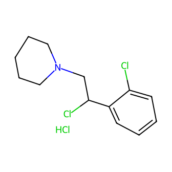 Cl.Clc1ccccc1C(Cl)CN1CCCCC1